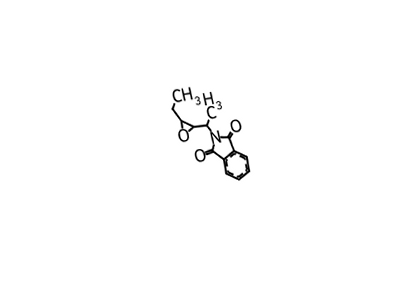 CCC1OC1C(C)N1C(=O)c2ccccc2C1=O